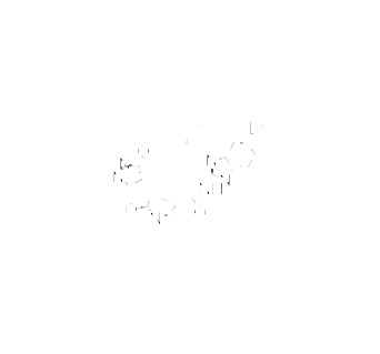 C[C@@H]1CCCOc2c(cnn2C)-c2cc(cn(C)c2=O)C(=O)Nc2nc3ccc(Br)cc3n2C1